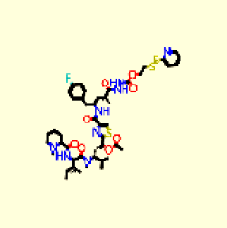 CC[C@H](C)C(NC(=O)C1CCCCN1C)C(=O)N(C)[C@H](C[C@@H](OC(C)=O)c1nc(C(=O)NC(Cc2ccc(F)cc2)C[C@H](C)C(=O)NNC(=O)OCCSSc2ccccn2)cs1)C(C)C